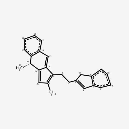 CC1=C(CCC2=Cc3ccccc3C2)C2=Cc3ccccc3[C@@H](C)C2=C1